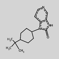 CC(C)(C)C1CCC(n2c(=O)[nH]c3cnccc32)CC1